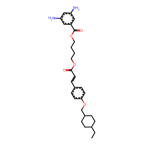 CCC1CCC(COc2ccc(C=CC(=O)OCCCCOC(=O)c3cc(N)cc(N)c3)cc2)CC1